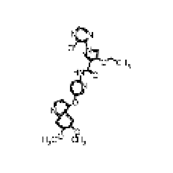 CCOc1cn(-c2nccnc2Cl)nc1C(=O)Nc1ccc(Oc2ccnc3cc(OC)c(OC)cc23)cn1